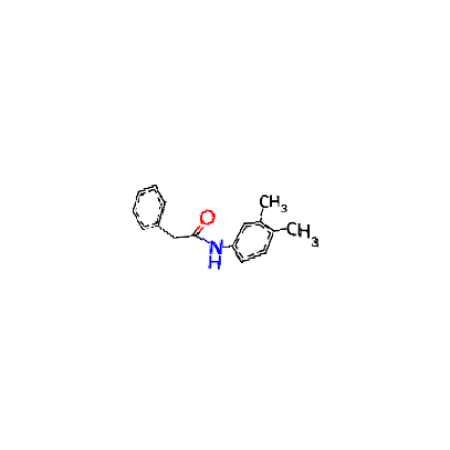 Cc1ccc(NC(=O)Cc2ccccc2)cc1C